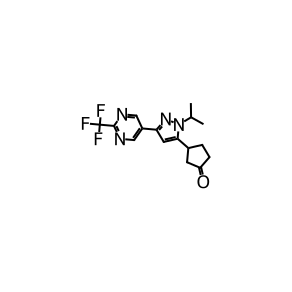 CC(C)n1nc(-c2cnc(C(F)(F)F)nc2)cc1C1CCC(=O)C1